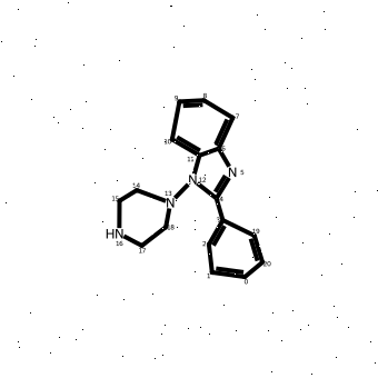 c1ccc(-c2nc3ccccc3n2N2CCNCC2)cc1